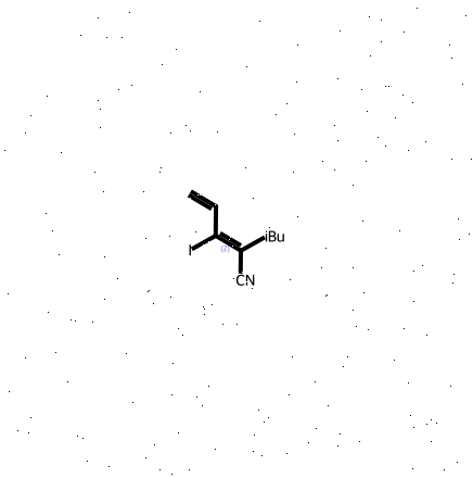 C=C/C(I)=C(/C#N)C(C)CC